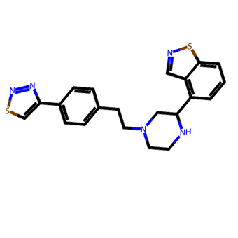 c1cc(C2CN(CCc3ccc(-c4csnn4)cc3)CCN2)c2cnsc2c1